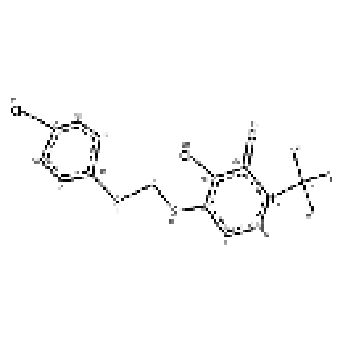 CC(C)(C)n1ncc(SCSc2ccc(Cl)cc2)c(Cl)c1=O